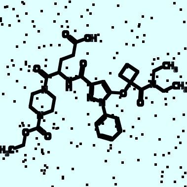 CCOC(=O)N1CCN(C(=O)C(CCC(=O)O)NC(=O)c2cc(OC3(C(=O)N(CC)CC)CCC3)n(-c3ccccc3)n2)CC1